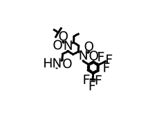 CCC1CC(N(Cc2cc(C(F)(F)F)cc(C(F)(F)F)c2)C(=O)OC)CC(CC(=O)NC)N1C(=O)OC(C)(C)C